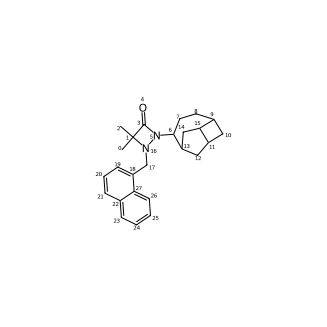 CC1(C)C(=O)N(C2CCC3CC4CC2CC34)N1Cc1cccc2ccccc12